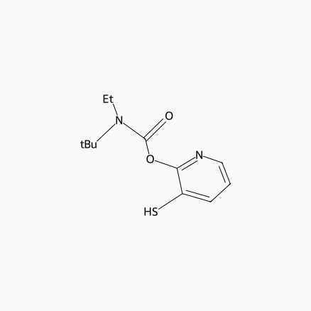 CCN(C(=O)Oc1ncccc1S)C(C)(C)C